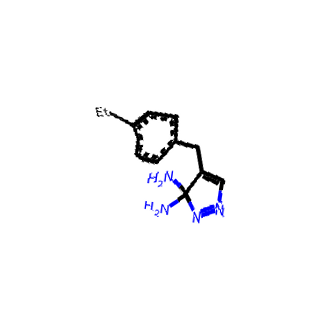 CCc1ccc(CC2=CN=NC2(N)N)cc1